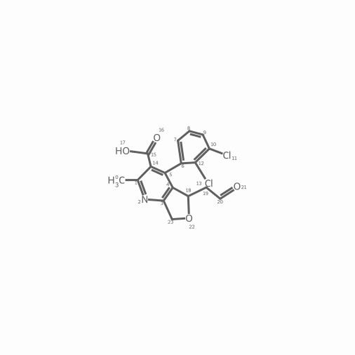 Cc1nc2c(c(-c3cccc(Cl)c3Cl)c1C(=O)O)C(CC=O)OC2